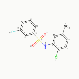 O=[N+]([O-])c1ccc(Cl)c(NS(=O)(=O)c2cccc(F)c2)c1